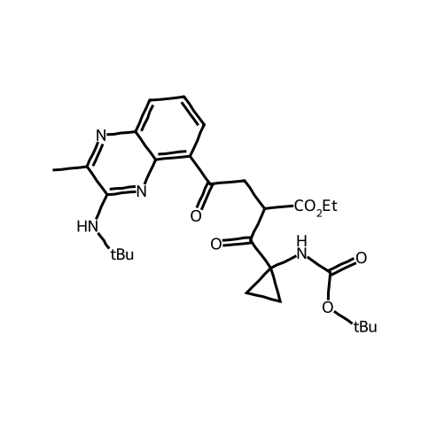 CCOC(=O)C(CC(=O)c1cccc2nc(C)c(NC(C)(C)C)nc12)C(=O)C1(NC(=O)OC(C)(C)C)CC1